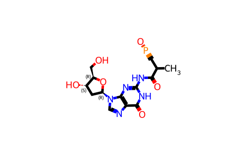 CC(C#P=O)C(=O)Nc1nc2c(ncn2[C@H]2C[C@H](O)[C@@H](CO)O2)c(=O)[nH]1